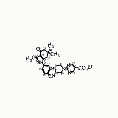 CCOC(=O)c1cnc(N2CCN(c3cc(-n4nc(C)c5c4CC(C)(C)CC5=O)ccc3C#N)CC2)nc1